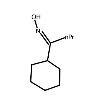 CCCC(=NO)C1CCCCC1